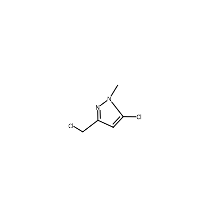 Cn1nc(CCl)cc1Cl